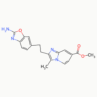 COC(=O)c1ccn2c(C)c(CCc3ccc4nc(N)oc4c3)nc2c1